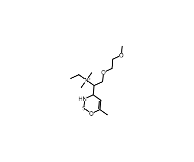 CC[N+](C)(C)C(COCCOC)C1C=C(C)OSN1